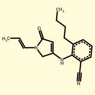 CC=CN1CC(Nc2c(C#N)cccc2CCCC)=CC1=O